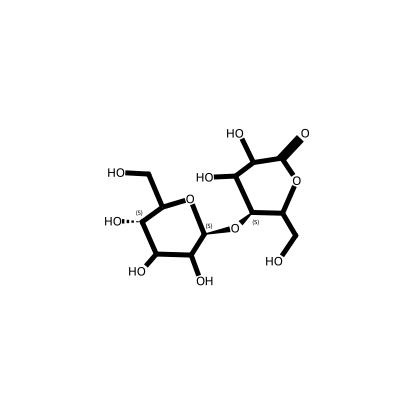 O=C1OC(CO)[C@@H](O[C@@H]2OC(CO)[C@@H](O)C(O)C2O)C(O)C1O